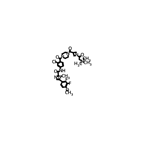 COc1ccc(-c2cnc(C(=O)Nc3ccc(C(=O)N4CCN(C(=O)C5CN(C(=O)C[N+](C)(C)C)C5)CC4)c(Cl)c3)n2C)c(F)c1F